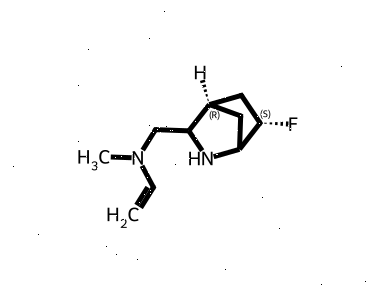 C=CN(C)CC1NC2C[C@@H]1C[C@@H]2F